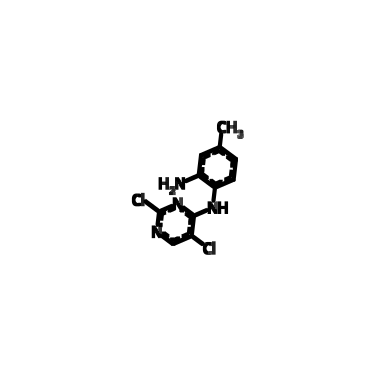 Cc1ccc(Nc2nc(Cl)ncc2Cl)c(N)c1